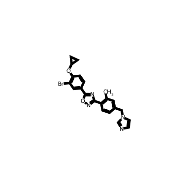 Cc1cc(Cn2ccnc2)ccc1-c1noc(-c2ccc(OC3CC3)c(Br)c2)n1